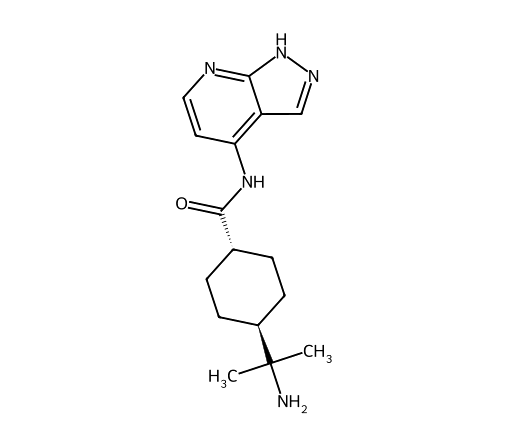 CC(C)(N)[C@H]1CC[C@H](C(=O)Nc2ccnc3[nH]ncc23)CC1